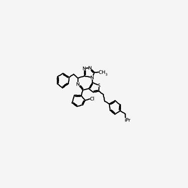 Cc1nnc2n1-c1sc(CCc3ccc(CC(C)C)cc3)cc1C(c1ccccc1Cl)=NC2Cc1ccccc1